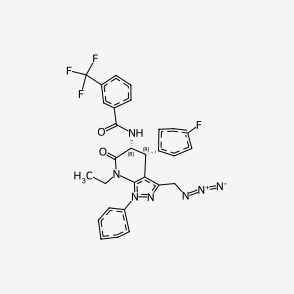 CCN1C(=O)[C@H](NC(=O)c2cccc(C(F)(F)F)c2)[C@H](c2ccc(F)cc2)c2c(CN=[N+]=[N-])nn(-c3ccccc3)c21